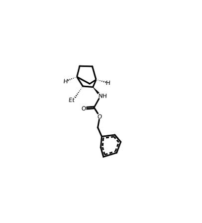 CC[C@@H]1[C@H]2CC[C@H](C2)[C@H]1NC(=O)OCc1ccccc1